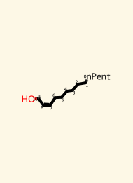 CCCCCCCCCCC/C=C\CO